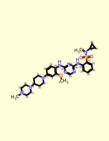 COc1cc(N2CCC(N3CCN(C)CC3)CC2)ccc1Nc1ncnc(Nc2ccccc2S(=O)(=O)N(C)C2CC2)n1